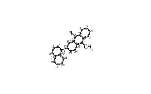 Cc1c2ccccc2c(I)c2cc(-c3cccc4ccccc34)ccc12